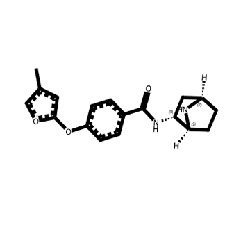 Cc1coc(Oc2ccc(C(=O)N[C@@H]3C[C@H]4CC[C@@H]3N4)cc2)c1